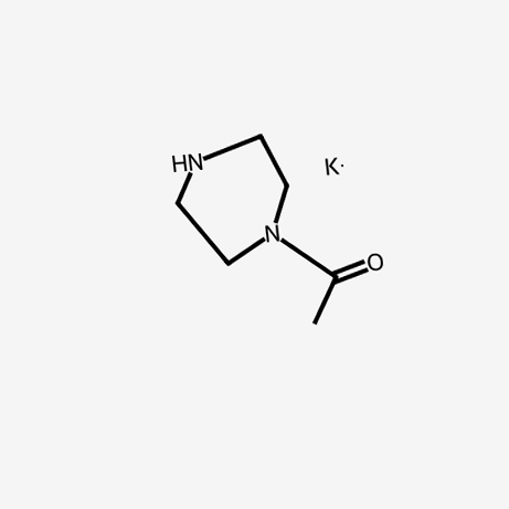 CC(=O)N1CCNCC1.[K]